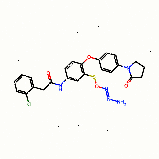 NN=NOSc1cc(NC(=O)Cc2ccccc2Cl)ccc1Oc1ccc(N2CCCC2=O)cc1